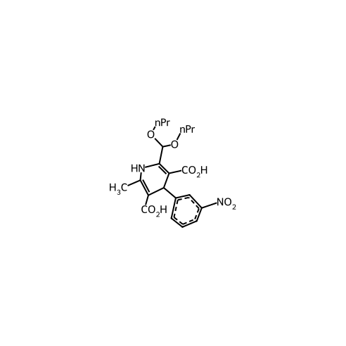 CCCOC(OCCC)C1=C(C(=O)O)C(c2cccc([N+](=O)[O-])c2)C(C(=O)O)=C(C)N1